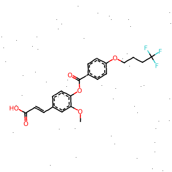 COc1cc(C=CC(=O)O)ccc1OC(=O)c1ccc(OCCCC(F)(F)F)cc1